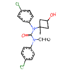 CC1(N(C(=O)N(C=O)c2ccc(Cl)cc2)c2ccc(Cl)cc2)CC(O)C1